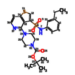 CCc1cccc(NS(=O)(=O)c2csc3ccnc(N4CCN(C(=O)OC(C)(C)C)CC4)c23)c1